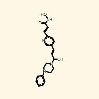 O=C(/C=C/c1ccc(/C=C/C(O)N2CCN(c3ccccc3)CC2)cn1)NO